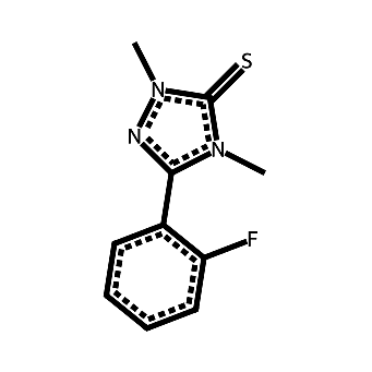 Cn1nc(-c2ccccc2F)n(C)c1=S